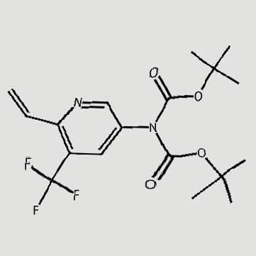 C=Cc1ncc(N(C(=O)OC(C)(C)C)C(=O)OC(C)(C)C)cc1C(F)(F)F